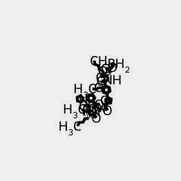 BOC(=O)C[C@H](NC(=O)c1ccc(-c2ccc(C(=O)NCNC(=O)[C@H](CCCCC)[C@@H](CC)N(C=O)OC(=O)c3cccc(N4CCCC4)c3)o2)cc1OCC)C(=O)OCCCC